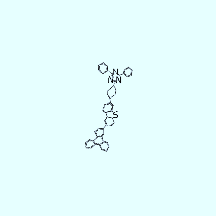 C1=CC2Sc3cc(C4CCC(c5nc(-c6ccccc6)nc(-c6ccccc6)n5)CC4)ccc3C2C=C1c1ccc2c3ccccc3c3ccccc3c2c1